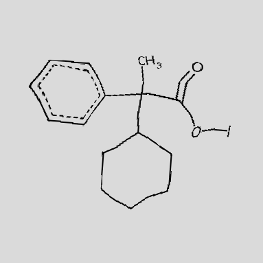 CC(C(=O)OI)(c1ccccc1)C1CCCCC1